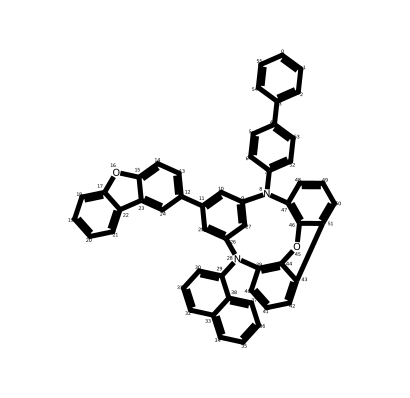 c1ccc(-c2ccc(N3c4cc(-c5ccc6oc7ccccc7c6c5)cc(c4)N(c4cccc5ccccc45)c4cccc5c4oc4c3cccc45)cc2)cc1